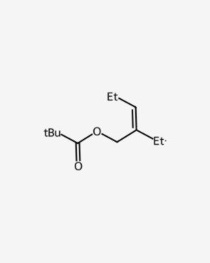 C[CH]C(=CCC)COC(=O)C(C)(C)C